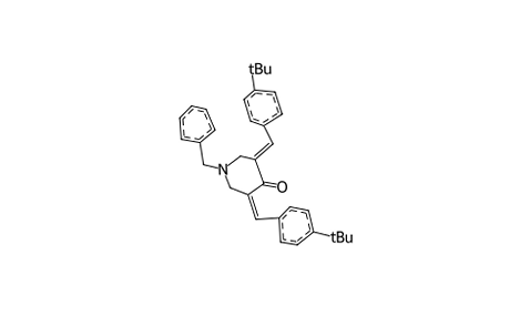 CC(C)(C)c1ccc(/C=C2/CN(Cc3ccccc3)C/C(=C\c3ccc(C(C)(C)C)cc3)C2=O)cc1